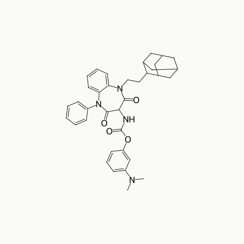 CN(C)c1cccc(OC(=O)NC2C(=O)N(CCC3C4CC5CC(C4)CC3C5)c3ccccc3N(c3ccccc3)C2=O)c1